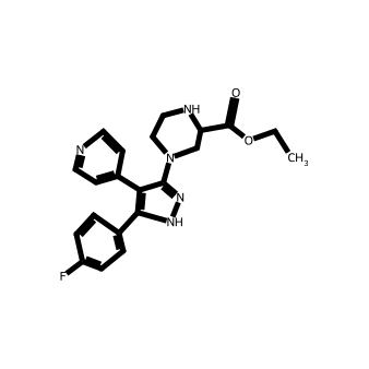 CCOC(=O)C1CN(c2n[nH]c(-c3ccc(F)cc3)c2-c2ccncc2)CCN1